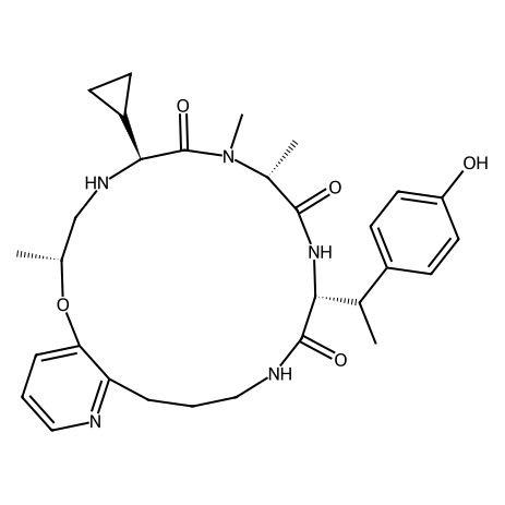 CC(c1ccc(O)cc1)[C@H]1NC(=O)[C@@H](C)N(C)C(=O)[C@H](C2CC2)NC[C@@H](C)Oc2cccnc2CCCNC1=O